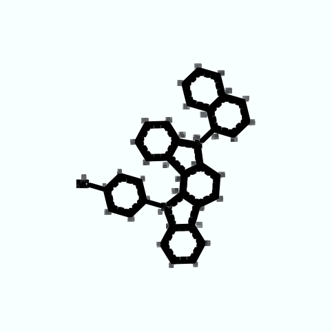 N#Cc1ccc(-n2c3ccccc3c3ccc4c(c5ccccc5n4-c4cccc5ccccc45)c32)cc1